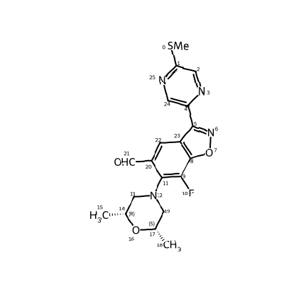 CSc1cnc(-c2noc3c(F)c(N4C[C@@H](C)O[C@@H](C)C4)c(C=O)cc23)cn1